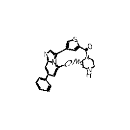 COc1cc(-c2ccccc2)cc2ncc(-c3csc(C(=O)N4CCNCC4)c3)n12